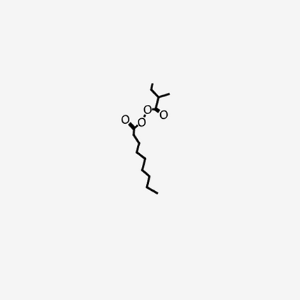 CCCCCCCCC(=O)OOC(=O)C(C)CC